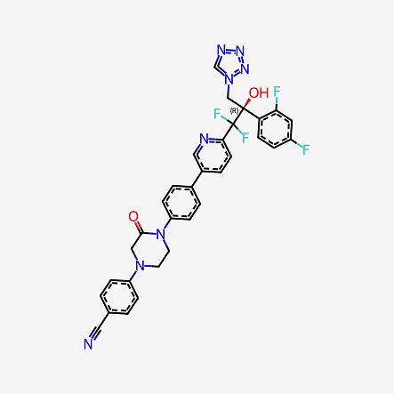 N#Cc1ccc(N2CCN(c3ccc(-c4ccc(C(F)(F)[C@](O)(Cn5cnnn5)c5ccc(F)cc5F)nc4)cc3)C(=O)C2)cc1